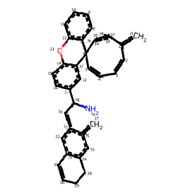 C=C1/C=C\C=CC2(c3ccccc3Oc3ccc(C(N)/C=c4/cc5c(cc4=C)CCC=C5)cc32)c2ccccc21